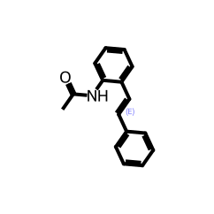 CC(=O)Nc1ccccc1/C=C/c1ccccc1